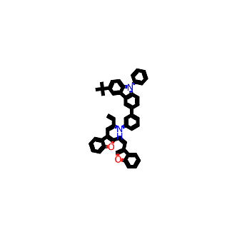 C=C/C(=C/c1c(/C=C\c2coc3ccccc23)oc2ccccc12)Nc1cccc(-c2ccc3c(c2)c2cc(C(C)(C)C)ccc2n3-c2ccccc2)c1